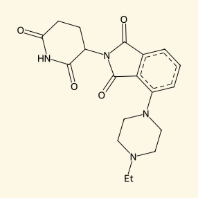 CCN1CCN(c2cccc3c2C(=O)N(C2CCC(=O)NC2=O)C3=O)CC1